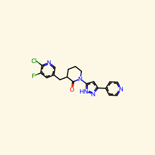 O=C1C(Cc2cnc(Cl)c(F)c2)CCCN1c1cc(-c2ccncc2)n[nH]1